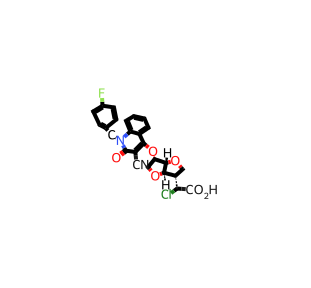 N#Cc1c(O[C@H]2CO[C@H]3[C@H]2OC[C@@H]3C(Cl)C(=O)O)c2ccccc2n(Cc2ccc(F)cc2)c1=O